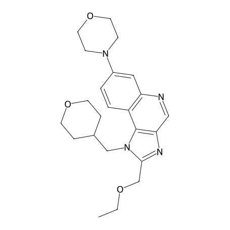 CCOCc1nc2cnc3cc(N4CCOCC4)ccc3c2n1CC1CCOCC1